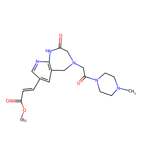 CN1CCN(C(=O)CN2CC(=O)Nc3ncc(C=CC(=O)OC(C)(C)C)cc3C2)CC1